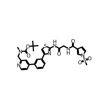 CN(Cc1cc(-c2cccc(-c3csc(NC(=O)CNC(=O)c4ccn(S(C)(=O)=O)c4)n3)c2)ccn1)C(=O)OC(C)(C)C